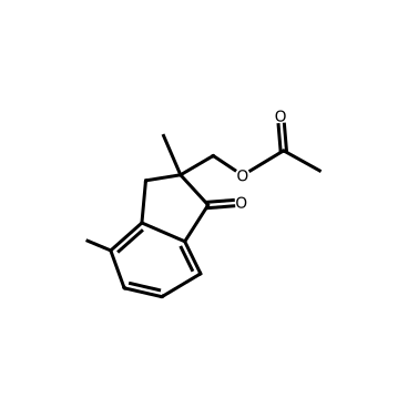 CC(=O)OCC1(C)Cc2c(C)cccc2C1=O